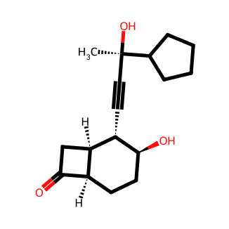 C[C@@](O)(C#C[C@H]1[C@@H]2CC(=O)[C@@H]2CC[C@@H]1O)C1CCCC1